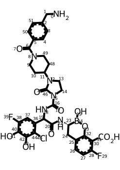 NCc1ccc(C(=O)N2CCC(N3CCN(C(=O)NC(C(=O)N[C@H]4Cc5ccc(F)c(C(=O)O)c5OB4O)c4cc(F)c(O)c(O)c4Cl)C3=O)CC2)cc1